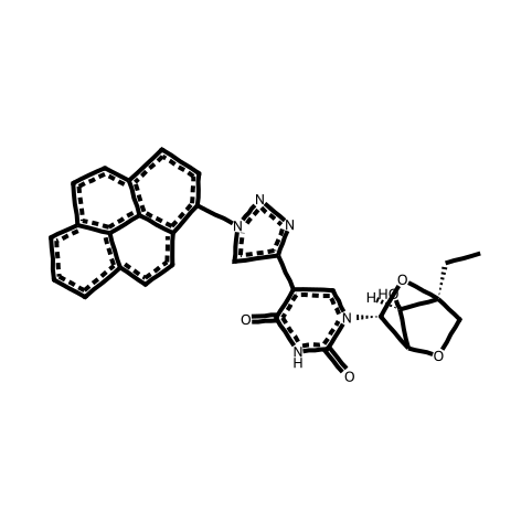 CC[C@@]12COC([C@H](n3cc(-c4cn(-c5ccc6ccc7cccc8ccc5c6c78)nn4)c(=O)[nH]c3=O)O1)[C@H]2O